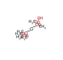 CCC(C)Oc1c(OC)cc(/C=C/c2ccc(/C=C/c3cc(OC)c(OCCO)c(OC)c3)cc2)cc1OC